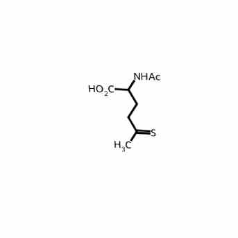 CC(=O)NC(CCC(C)=S)C(=O)O